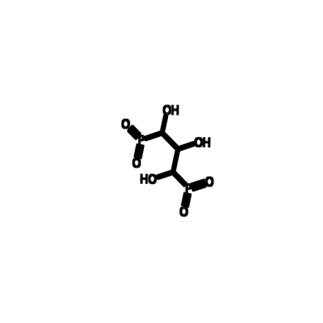 O=P(=O)C(O)C(O)C(O)P(=O)=O